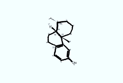 C[C@@H]1CCC[C@]2(C)c3cc(O)ccc3CC[C@H]12